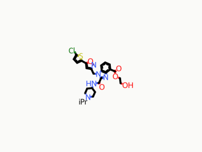 CC(C)N1CCC(NC(=O)c2nc3c(C(=O)OCCO)cccc3n2Cc2cc(-c3ccc(Cl)s3)on2)CC1